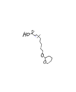 CC(C)(/C=C/C(=O)O)CCCCCOC1CCCCO1